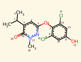 CC(C)c1cc(Oc2c(Cl)cc(O)cc2Cl)nn(C)c1=O